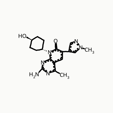 Cc1nc(N)nc2c1cc(-c1cnn(C)c1)c(=O)n2[C@H]1CC[C@H](O)CC1